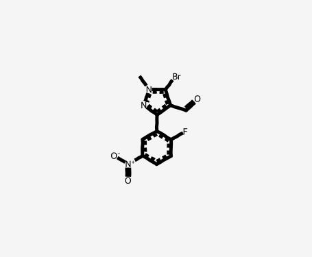 Cn1nc(-c2cc([N+](=O)[O-])ccc2F)c(C=O)c1Br